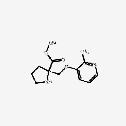 Cc1ncccc1OC[C@]1(C(=O)OC(C)(C)C)CCCN1